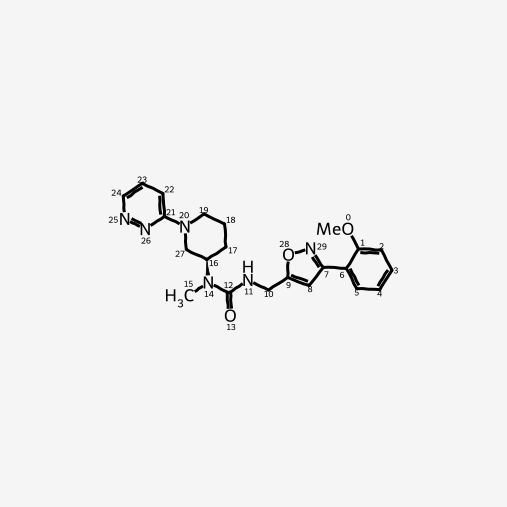 COc1ccccc1-c1cc(CNC(=O)N(C)[C@@H]2CCCN(c3cccnn3)C2)on1